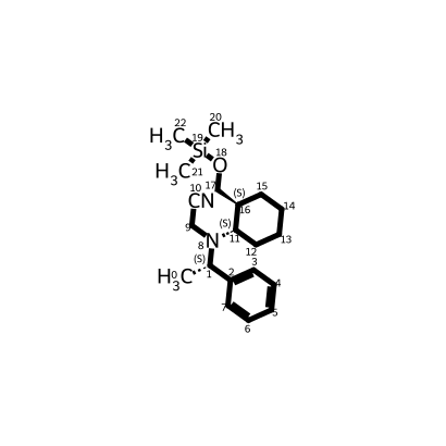 C[C@@H](c1ccccc1)N(CC#N)[C@H]1CCCC[C@@H]1CO[Si](C)(C)C